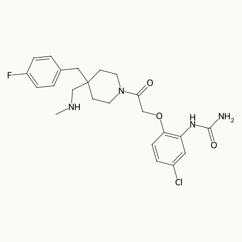 CNCC1(Cc2ccc(F)cc2)CCN(C(=O)COc2ccc(Cl)cc2NC(N)=O)CC1